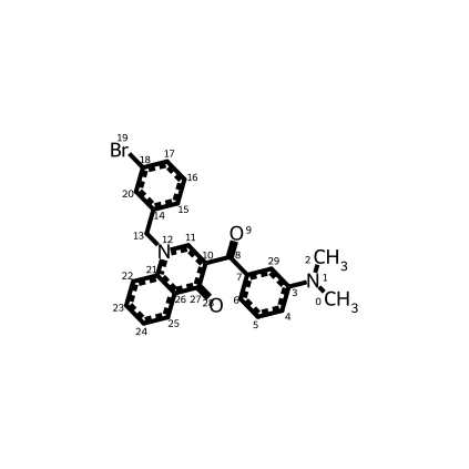 CN(C)c1cccc(C(=O)c2cn(Cc3cccc(Br)c3)c3ccccc3c2=O)c1